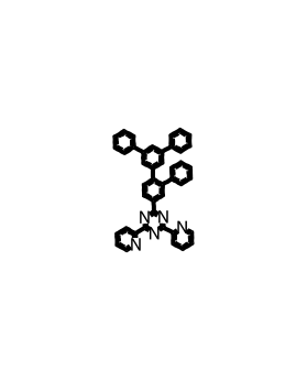 c1ccc(-c2cc(-c3ccccc3)cc(-c3ccc(-c4nc(-c5ccccn5)nc(-c5ccccn5)n4)cc3-c3ccccc3)c2)cc1